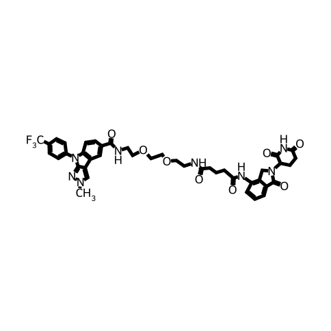 Cn1cc2c3cc(C(=O)NCCOCCOCCNC(=O)CCCC(=O)Nc4cccc5c4CN(C4CCC(=O)NC4=O)C5=O)ccc3n(-c3ccc(C(F)(F)F)cc3)c2n1